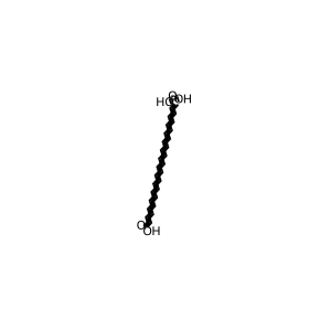 O=C(O)CCCCCCCCCCCCCCCCCCCCCCCCCCCCCP(=O)(O)O